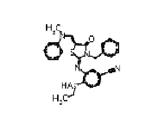 CC[AsH]c1ccc(C#N)cc1N=C1SC(=CN(C)c2ccccc2)C(=O)N1Cc1ccccc1